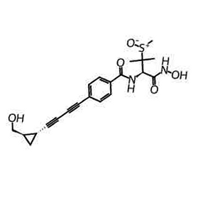 C[S+]([O-])C(C)(C)[C@H](NC(=O)c1ccc(C#CC#C[C@@H]2C[C@H]2CO)cc1)C(=O)NO